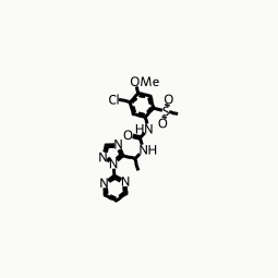 COc1cc(S(C)(=O)=O)c(NC(=O)NC(C)c2ncnn2-c2ncccn2)cc1Cl